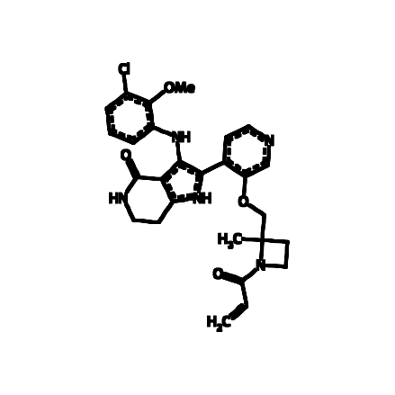 C=CC(=O)N1CCC1(C)COc1cnccc1-c1[nH]c2c(c1Nc1cccc(Cl)c1OC)C(=O)NCC2